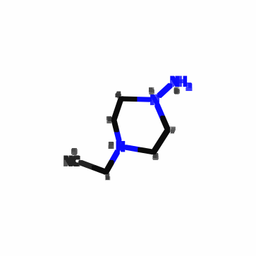 N#CCN1CCN(N)CC1